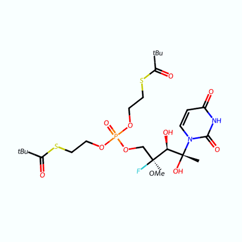 CO[C@](F)(COP(=O)(OCCSC(=O)C(C)(C)C)OCCSC(=O)C(C)(C)C)[C@@H](O)[C@@](C)(O)n1ccc(=O)[nH]c1=O